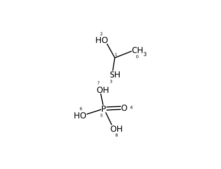 CC(O)S.O=P(O)(O)O